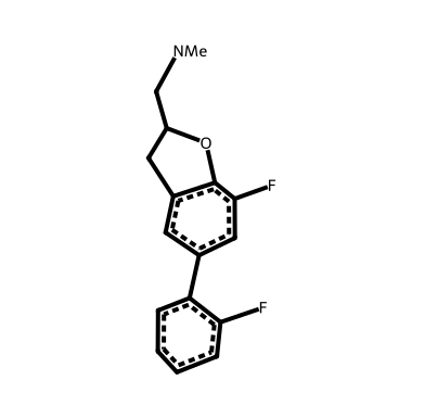 CNCC1Cc2cc(-c3ccccc3F)cc(F)c2O1